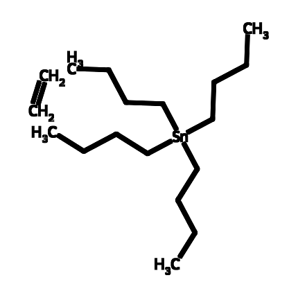 C=C.CCC[CH2][Sn]([CH2]CCC)([CH2]CCC)[CH2]CCC